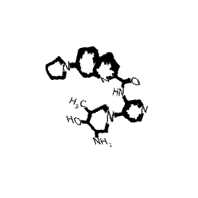 CC1CN(c2ccncc2NC(=O)c2ccc3ccc(N4CCCC4)cc3n2)CC(N)C1O